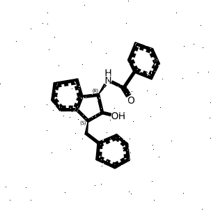 O=C(N[C@@H]1c2ccccc2[C@H](Cc2ccccc2)C1O)c1ccccc1